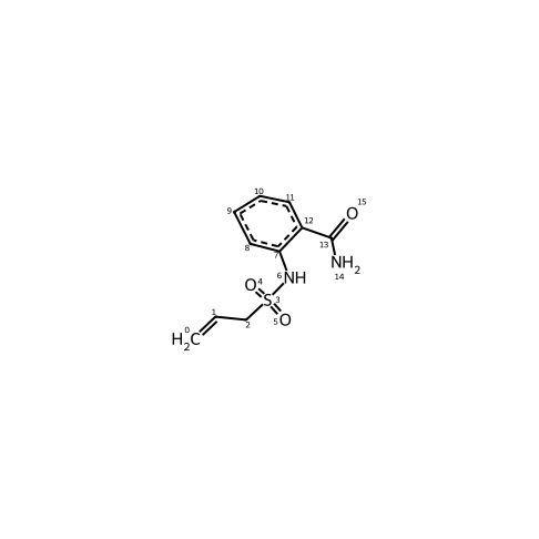 C=CCS(=O)(=O)Nc1ccccc1C(N)=O